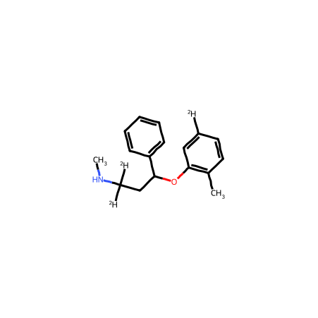 [2H]c1ccc(C)c(OC(CC([2H])([2H])NC)c2ccccc2)c1